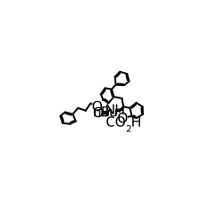 CCCCc1oc2ccccc2c1Cc1c(-c2ccccc2)ccc(OCCCc2ccccc2)c1NC(=O)C(=O)O